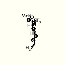 CC#CCN1CCCC(c2cccc(NCc3ccc(Nc4ncc(C(F)(F)F)c(Nc5ccccc5C(=O)NC)n4)cc3)c2)C1